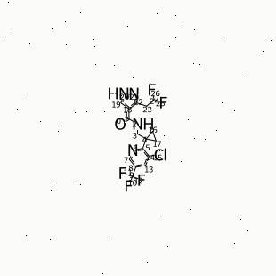 O=C(NCC1(c2ncc(C(F)(F)F)cc2Cl)CC1)c1c[nH]nc1CC(F)F